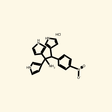 Cl.NC(c1cc[nH]c1)(c1cc[nH]c1)C(c1ccc([N+](=O)[O-])cc1)c1cc[nH]c1